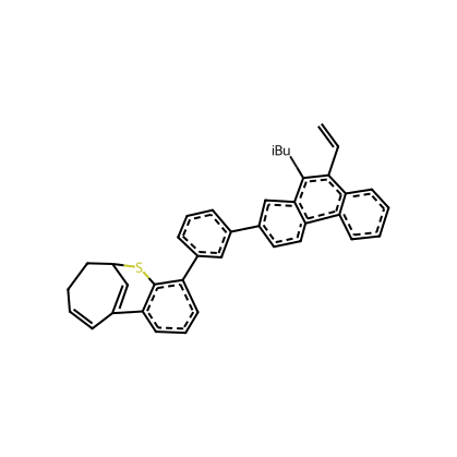 C=Cc1c(C(C)CC)c2cc(-c3cccc(-c4cccc5c4SC4C=C5C=CCC4)c3)ccc2c2ccccc12